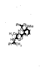 COc1ccnc(C(=O)N[C@@H](C)C(=O)NC(C)C(C)C)c1OC(=O)C(C)C